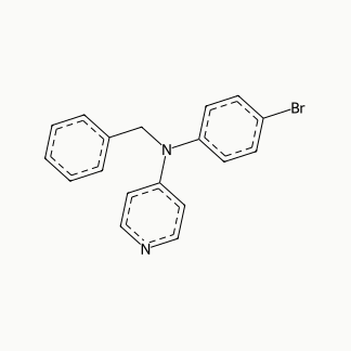 Brc1ccc(N(Cc2ccccc2)c2ccncc2)cc1